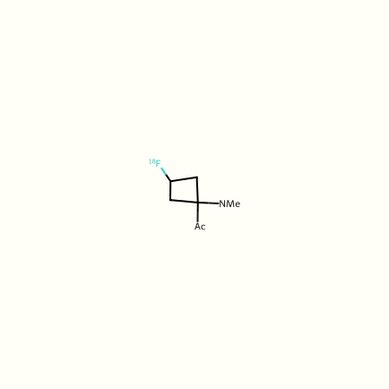 CNC1(C(C)=O)CC([18F])C1